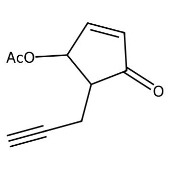 C#CCC1C(=O)C=CC1OC(C)=O